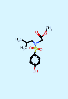 COC(=O)CN(CC(C)C)S(=O)(=O)c1ccc(O)cc1